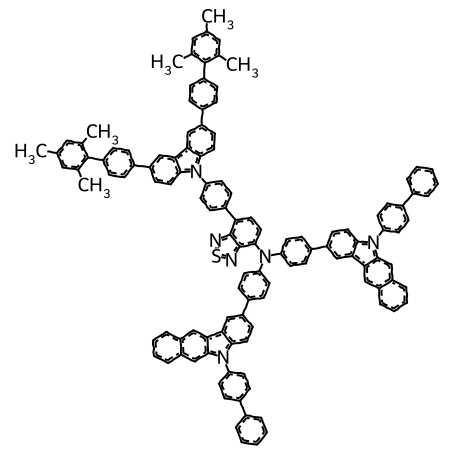 Cc1cc(C)c(-c2ccc(-c3ccc4c(c3)c3cc(-c5ccc(-c6c(C)cc(C)cc6C)cc5)ccc3n4-c3ccc(-c4ccc(N(c5ccc(-c6ccc7c(c6)c6cc8ccccc8cc6n7-c6ccc(-c7ccccc7)cc6)cc5)c5ccc(-c6ccc7c(c6)c6cc8ccccc8cc6n7-c6ccc(-c7ccccc7)cc6)cc5)c5nsnc45)cc3)cc2)c(C)c1